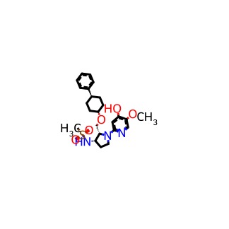 COc1cnc(N2CC[C@H](NS(C)(=O)=O)[C@@H]2CO[C@H]2CC[C@@H](c3ccccc3)CC2)cc1O